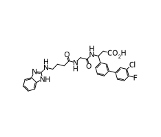 O=C(O)CC(NC(=O)CNC(=O)CCCNc1nc2ccccc2[nH]1)c1cccc(-c2ccc(F)c(Cl)c2)c1